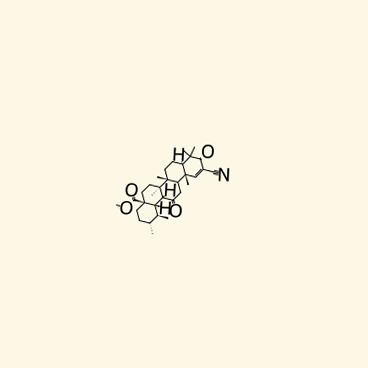 COC(=O)[C@]12CC[C@@H](C)[C@H](C)[C@H]1[C@H]1C(=O)CC3[C@@]4(C)C=C(C#N)C(=O)C(C)(C)[C@@H]4CC[C@@]3(C)[C@]1(C)CC2